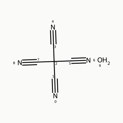 N#CC(C#N)(C#N)C#N.O